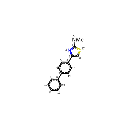 CNc1nc(-c2ccc(-c3ccccc3)cc2)cs1